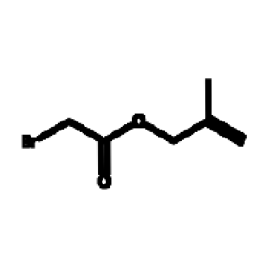 C=C(C)COC(=O)CBr